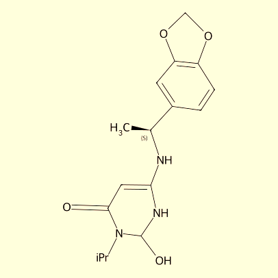 CC(C)N1C(=O)C=C(N[C@@H](C)c2ccc3c(c2)OCO3)NC1O